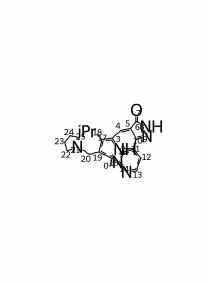 Cc1[nH]c(/C=C2/C(=O)NN=C2c2ccnnc2)c(C(C)C)c1CN1CCCC1